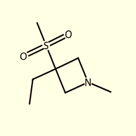 CCC1(S(C)(=O)=O)CN(C)C1